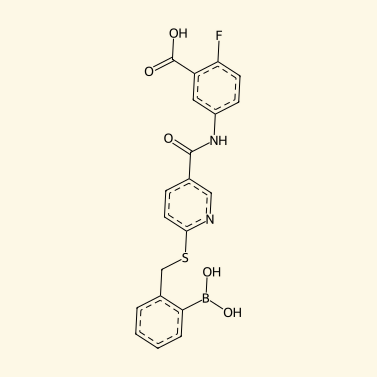 O=C(Nc1ccc(F)c(C(=O)O)c1)c1ccc(SCc2ccccc2B(O)O)nc1